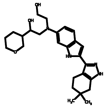 CC1(C)CCc2c(-c3cc4ccc(N(CCO)CC(O)C5CCCOC5)cc4[nH]3)n[nH]c2C1